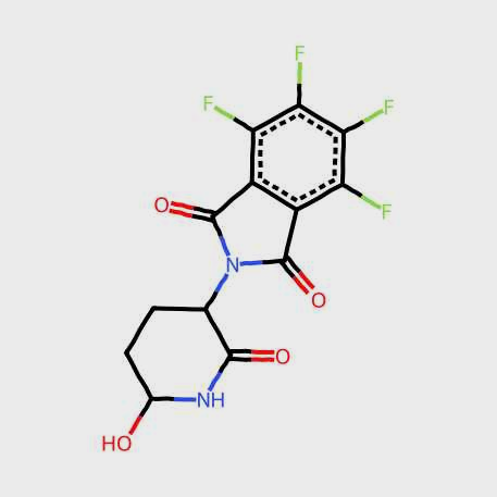 O=C1NC(O)CCC1N1C(=O)c2c(F)c(F)c(F)c(F)c2C1=O